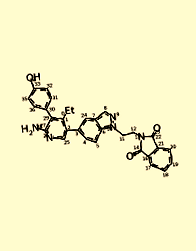 CCc1c(-c2ccc3c(cnn3CCN3C(=O)c4ccccc4C3=O)c2)cnc(N)c1-c1ccc(O)cc1